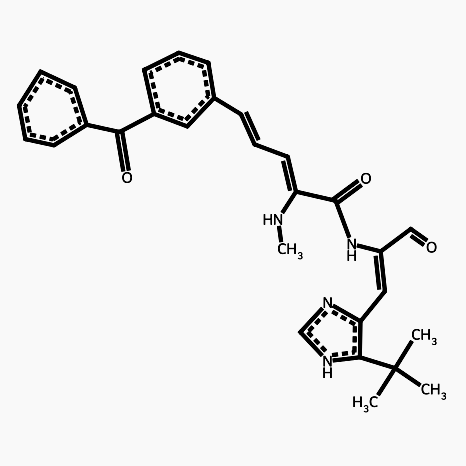 CN/C(=C\C=C\c1cccc(C(=O)c2ccccc2)c1)C(=O)N/C(C=O)=C\c1nc[nH]c1C(C)(C)C